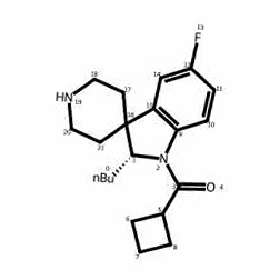 CCCC[C@H]1N(C(=O)C2CCC2)c2ccc(F)cc2C12CCNCC2